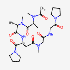 CC(C)C(C(=O)N[C@@H](CC(=O)N(C)CC(=O)NCC(=O)N1CCCC1)C(=O)N1CCCC1)N(C)C(=O)C(C)N(C)C(=O)C(F)(F)F